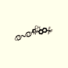 Cc1cc(N2CCN(CCN3CCOCC3)CC2)nn1-c1ccc2cc(C(F)(F)F)ccc2c1